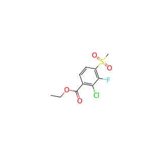 CCOC(=O)c1ccc(S(C)(=O)=O)c(F)c1Cl